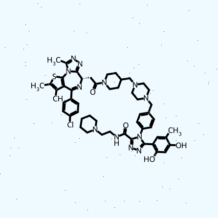 Cc1cc(-c2nnc(C(=O)NCCN3CCCCC3)n2-c2ccc(CN3CCN(CC4CCN(C(=O)C[C@@H]5N=C(c6ccc(Cl)cc6)c6c(sc(C)c6C)-n6c(C)nnc65)CC4)CC3)cc2)c(O)cc1O